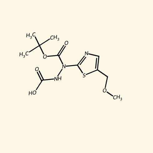 COCc1cnc(N(NC(=O)O)C(=O)OC(C)(C)C)s1